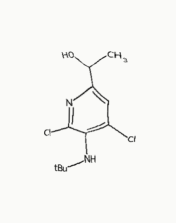 CC(O)c1cc(Cl)c(NC(C)(C)C)c(Cl)n1